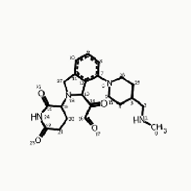 CNCC1CCN(c2cccc3c2C(C(=O)C=O)N(C2CCC(=O)NC2=O)C3)CC1